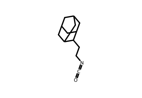 O=C=NCCC1C2CC3CC(C2)CC1C3